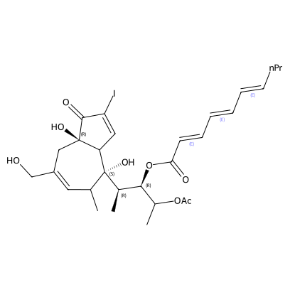 CCC/C=C/C=C/C=C/C(=O)O[C@@H](C(C)OC(C)=O)[C@@H](C)[C@@]1(O)C(C)C=C(CO)C[C@]2(O)C(=O)C(I)=CC12